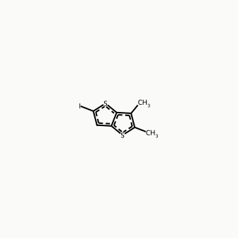 Cc1sc2cc(I)sc2c1C